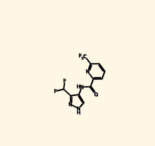 O=C(Nc1c[nH]nc1C(F)F)c1cccc(C(F)(F)F)n1